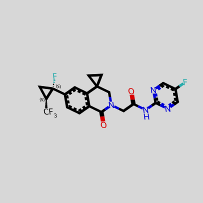 O=C(CN1CC2(CC2)c2cc([C@]3(F)C[C@@H]3C(F)(F)F)ccc2C1=O)Nc1ncc(F)cn1